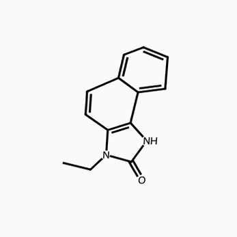 CCn1c(=O)[nH]c2c3ccccc3ccc21